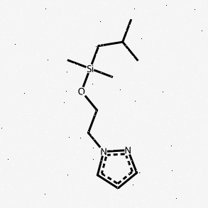 CC(C)C[Si](C)(C)OCCn1cc[c]n1